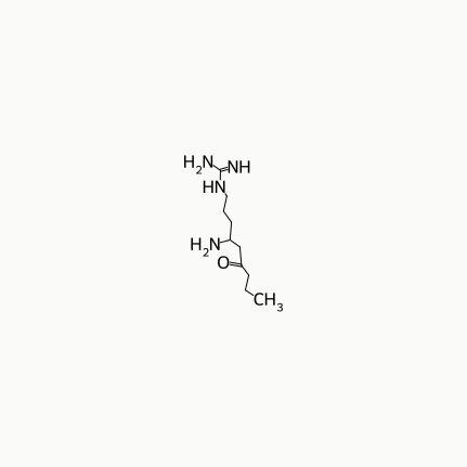 CCCC(=O)CC(N)CCCNC(=N)N